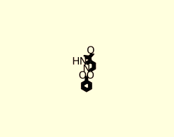 O=Cc1c[nH]c2nc(OC(=O)c3ccccc3)ccc12